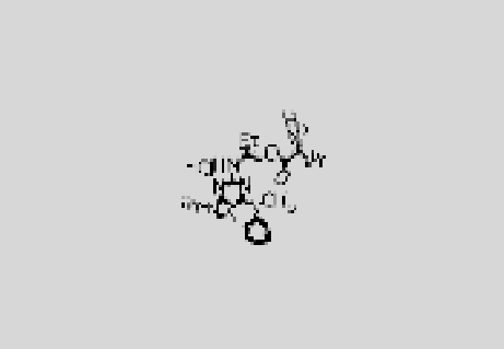 CC[C@H](COC(=O)[C@@H](N)C(C)C)Nc1nc(N(C)c2ccccc2)c2ncn(C(C)C)c2n1.Cl